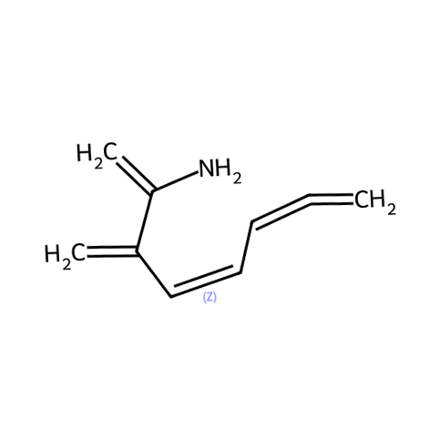 C=C=C/C=C\C(=C)C(=C)N